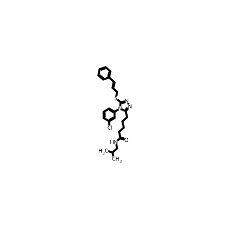 CC(C)CNC(=O)CCCCc1nnc(SC/C=C/c2ccccc2)n1-c1cccc(Cl)c1